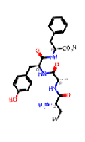 CC(C)C[C@H](N)C(=O)N[C@@H](C)C(=O)N[C@@H](Cc1ccc(O)cc1)C(=O)N[C@@H](Cc1ccccc1)C(=O)O